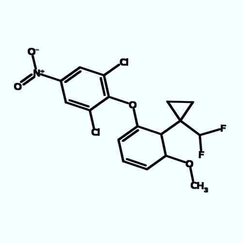 COC1C=CC=C(Oc2c(Cl)cc([N+](=O)[O-])cc2Cl)C1C1(C(F)F)CC1